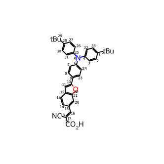 CC(C)(C)c1ccc(N(c2ccc(-c3cc4ccc(/C=C(\C#N)C(=O)O)cc4o3)cc2)c2ccc(C(C)(C)C)cc2)cc1